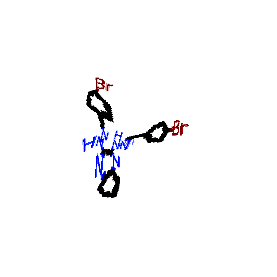 Brc1ccc(C=NNc2nc3ccccc3nc2N/N=C/c2ccc(Br)cc2)cc1